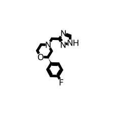 Fc1ccc([C@H]2CN(Cc3nc[nH]n3)CCO2)cc1